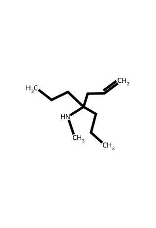 C=CCC(CCC)(CCC)NC